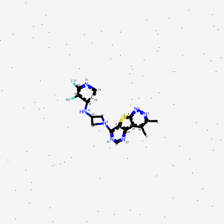 Cc1nnc2sc3c(N4CC(Nc5ccnc(F)c5F)C4)ncnc3c2c1C